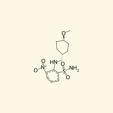 CO[C@H]1CC[C@H](CNc2c([N+](=O)[O-])cccc2S(N)(=O)=O)CC1